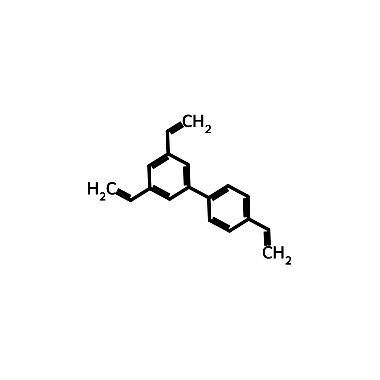 C=Cc1ccc(-c2cc(C=C)cc(C=C)c2)cc1